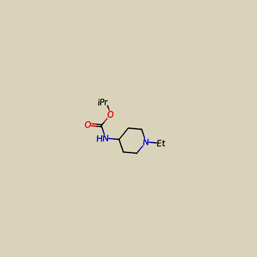 CCN1CCC(NC(=O)OC(C)C)CC1